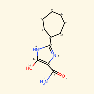 NC(=O)c1nc(C2CCCCCC2)[nH]c1O